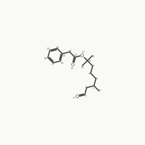 CC(CC=O)CCCC(C)(C)OC(=O)Cc1ccccc1